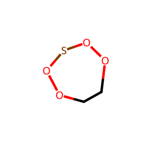 C1COOSOO1